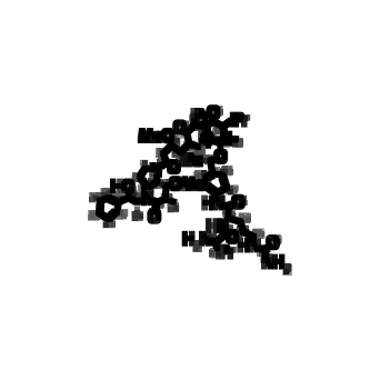 CC[C@H](C)C(C(CC(=O)N1CCC[C@H]1C(OC)[C@@H](C)C(=O)N[C@H](C)C(O)c1ccccc1)OC)C(C)C(=O)C(NC(=O)C(C(C)C)N(C)C(=O)OCc1ccc(NC(=O)C(CCCNC(N)=O)NC(=O)C(N)C(C)C)cc1)C(C)C